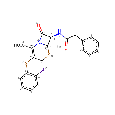 O=C(Cc1ccccc1)N[C@@H]1C(=O)N2C(C(=O)O)=C(Sc3ccccc3I)CS[C@H]12